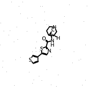 O=C(N[C@H]1CN2CCC1CC2)c1ncc(-c2ccsc2)s1